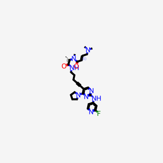 C[C@@H](C(=O)NCCCC#Cc1cnc(Nc2ccnc(F)c2)nc1N1CCCC1)N(C)C(=O)/C=C/CN(C)C